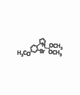 COc1ccc(-c2cccn2CC(OC)OC)c(Br)c1